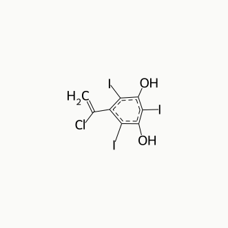 C=C(Cl)c1c(I)c(O)c(I)c(O)c1I